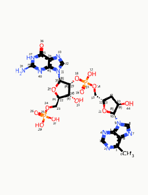 Cc1ncnc2c1ncn2[C@@H]1O[C@H](COP(=O)(O)O[C@@H]2[C@H](O)[C@@H](COP(=O)(O)O)O[C@H]2n2cnc3c(=O)[nH]c(N)nc32)C[C@H]1O